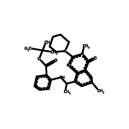 Cc1cc(C(C)Nc2ccccc2C(=O)OC(C)(C)C)c2nc(N3CCCCC3)n(C)c(=O)c2c1